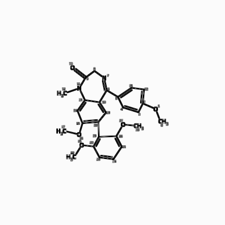 COc1ccc(C2=NCC(=O)N(C)c3cc(OC)c(-c4c(OC)cccc4OC)cc32)cc1